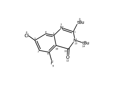 CC(C)(C)c1nc2cc(Cl)cc(F)c2c(=O)n1C(C)(C)C